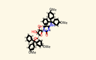 COc1ccc(C(Nc2ccn([C@@H]3O[C@H](COC(c4ccccc4)(c4ccc(OC)cc4)c4ccc(OC)cc4)[C@@H](O)[C@H]3O)c(=O)n2)(c2ccccc2)c2ccc(OC)cc2)cc1